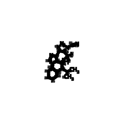 CC(C)n1c(=O)c2c(-c3nnn(C#N)c3C(F)(F)F)ncn2c2ccccc21